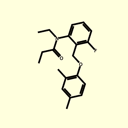 CCC(=O)N(CC)c1cccc(F)c1COc1ccc(C)cc1C